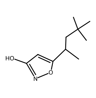 CC(CC(C)(C)C)c1cc(O)no1